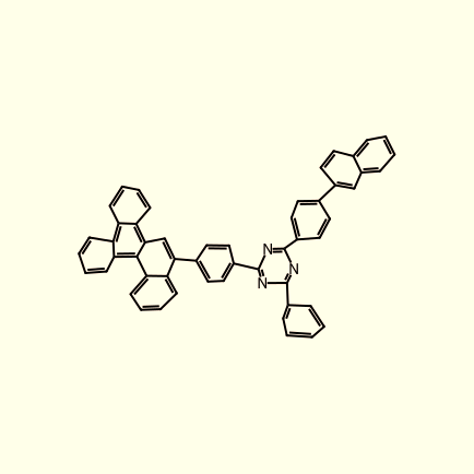 c1ccc(-c2nc(-c3ccc(-c4ccc5ccccc5c4)cc3)nc(-c3ccc(-c4cc5c6ccccc6c6ccccc6c5c5ccccc45)cc3)n2)cc1